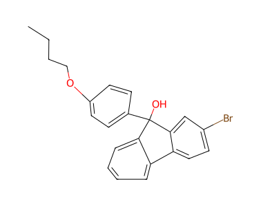 CCCCOc1ccc(C2(O)c3ccccc3-c3ccc(Br)cc32)cc1